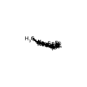 CCCCCc1cnc(-c2ccc(-c3ccc(-c4ccc(C(F)(F)Oc5cc(F)c(F)c(F)c5)c(F)c4)c(F)c3)cc2)nc1